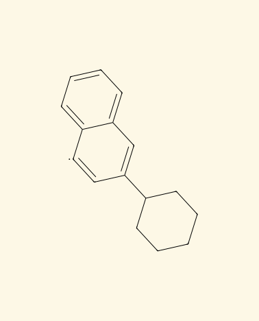 [c]1cc(C2CCCCC2)cc2ccccc12